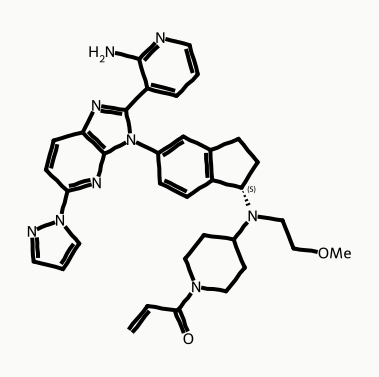 C=CC(=O)N1CCC(N(CCOC)[C@H]2CCc3cc(-n4c(-c5cccnc5N)nc5ccc(-n6cccn6)nc54)ccc32)CC1